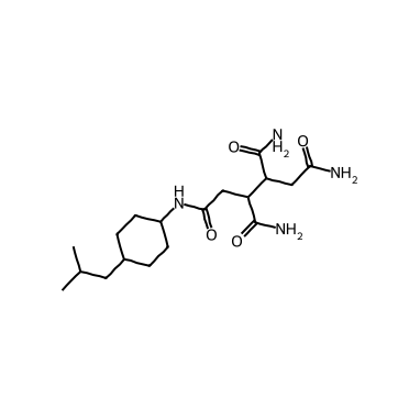 CC(C)CC1CCC(NC(=O)CC(C(N)=O)C(CC(N)=O)C(N)=O)CC1